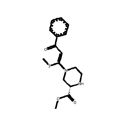 COC(=O)[C@@H]1CN(/C(=C/C(=O)c2ccccc2)SC)CCN1